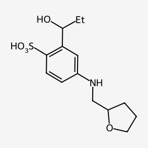 CCC(O)c1cc(NCC2CCCO2)ccc1S(=O)(=O)O